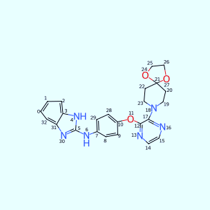 c1ccc2[nH]c(Nc3ccc(Oc4nccnc4N4CCC5(CC4)OCCO5)cc3)nc2c1